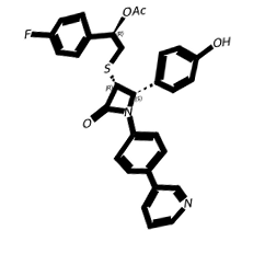 CC(=O)O[C@@H](CS[C@H]1C(=O)N(c2ccc(-c3cccnc3)cc2)[C@H]1c1ccc(O)cc1)c1ccc(F)cc1